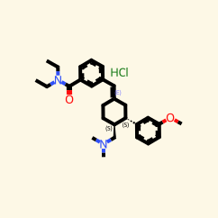 CCN(CC)C(=O)c1cccc(/C=C2\CC[C@H](CN(C)C)[C@@H](c3cccc(OC)c3)C2)c1.Cl